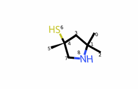 CC1(C)C[C@@](C)(S)CN1